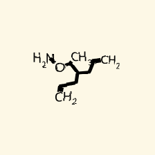 C=CCC(CC=C)C(C)ON